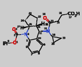 CC(C)OC(=O)N1c2ccccc2[C@H](N(C(=O)CCC(=O)O)C2CC2)[C@H]2CCC[C@H]21